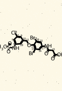 CS(=O)(=O)Nc1cc(Cl)cc(COc2c(Br)cc(NC(=O)CC(=O)O)cc2Br)c1